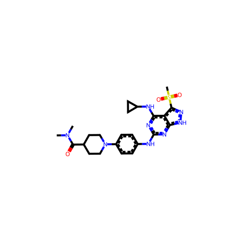 CN(C)C(=O)C1CCN(c2ccc(Nc3nc(NC4CC4)c4c(S(C)(=O)=O)n[nH]c4n3)cc2)CC1